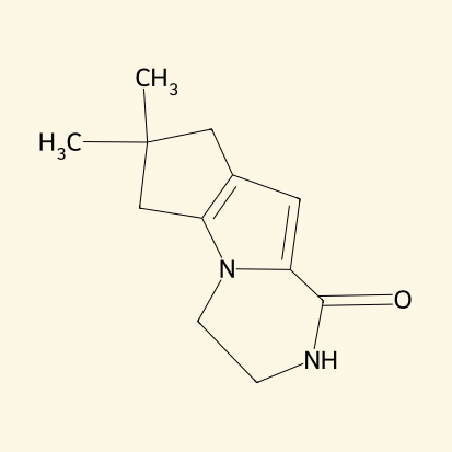 CC1(C)Cc2cc3n(c2C1)CCNC3=O